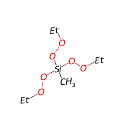 CCOO[Si](C)(OOCC)OOCC